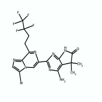 CC1(C)C(=O)Nc2nc(-c3cn4c(Br)cnc4c(CCC(F)(F)C(F)(F)F)n3)nc(N)c21